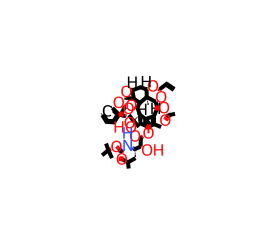 C=CC1O[C@H]2C[C@H]3OC[C@@]3(OC(C)=O)[C@H]3[C@H](OC(=O)c4ccccc4)[C@]4(C(C)(C)O)C[C@H](OC(=O)C(O)[C@H](CC(C)C)NC(=O)OC(C)(C)C)C(C)=C([C@H](OC(C)=O)[C@H](O1)[C@]23C)C4(C)C